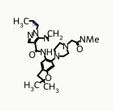 C=Nc1c(C(=O)Nc2cc3c(cc2N2CCN(CC(=O)NC)CC2)OC(C)(C)C3)cnn1/C=C\C